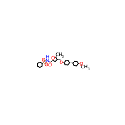 COc1ccc(-c2ccc(OCc3cc(C(=O)NS(=O)(=O)c4ccccc4)oc3C)cc2)cc1